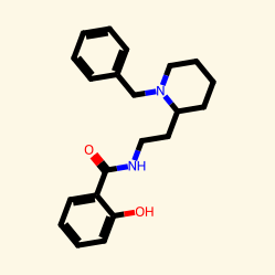 O=C(NCCC1CCCCN1Cc1ccccc1)c1ccccc1O